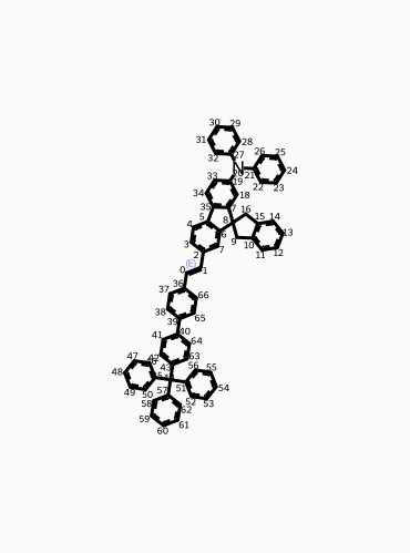 C(=C\c1ccc2c(c1)C1(Cc3ccccc3C1)c1cc(N(c3ccccc3)c3ccccc3)ccc1-2)/c1ccc(-c2ccc(C(c3ccccc3)(c3ccccc3)c3ccccc3)cc2)cc1